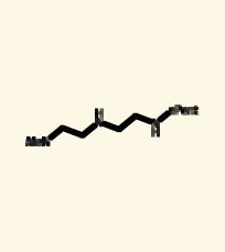 CCCCCNCCNCCNC